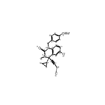 COc1ccc(CN2C(=O)N(C)C(C#CCCl)(C3CC3)c3cc(Cl)ccc32)cc1